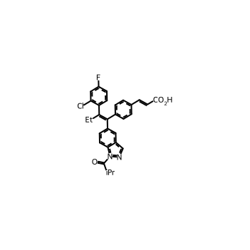 CC/C(=C(/c1ccc(/C=C/C(=O)O)cc1)c1ccc2c(cnn2C(=O)C(C)C)c1)c1ccc(F)cc1Cl